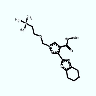 CC(C)(C)NC(=O)c1cn(COCC[Si](C)(C)C)nc1-c1nc2c(s1)CCCC2